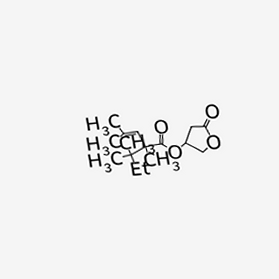 CCC(C)(C)C(C)(C=C(C)C)C(=O)OC1COC(=O)C1